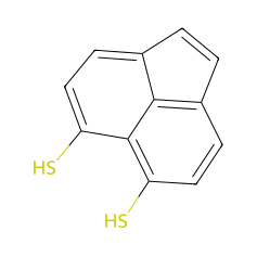 Sc1ccc2c3c(ccc(S)c13)C=C2